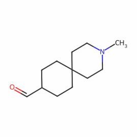 CN1CCC2(CCC(C=O)CC2)CC1